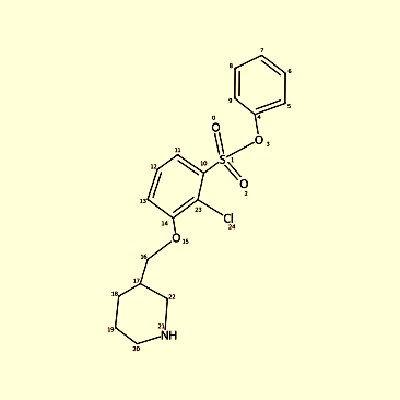 O=S(=O)(Oc1ccccc1)c1cccc(OCC2CCCNC2)c1Cl